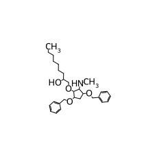 CCCCCCCC(O)COC1C(OCc2ccccc2)CC(OCc2ccccc2)C1NC